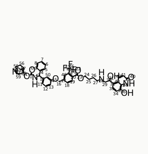 O=C(N[C@@H](c1ccccc1)c1cccc(OCc2ccc(C(=O)OCCCCNCC(O)c3ccc(O)c4[nH]c(=O)ccc34)c(C(F)(F)F)c2)c1)OC1CN2CCC1CC2